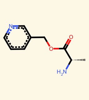 C[C@H](N)C(=O)OCc1cccnc1